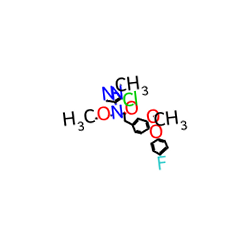 CCOCN(C(=O)Cc1ccc(Oc2ccc(F)cc2)c(OC)c1)c1cnn(C)c1Cl